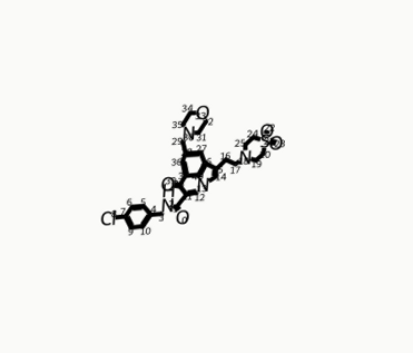 O=C(NCc1ccc(Cl)cc1)c1cn2cc(CCN3CCS(=O)(=O)CC3)c3cc(CN4CCOCC4)cc(c1=O)c32